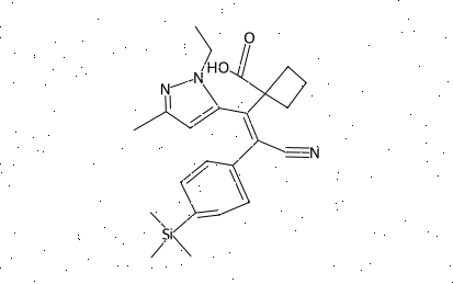 CCn1nc(C)cc1/C(=C(/C#N)c1ccc([Si](C)(C)C)cc1)C1(C(=O)O)CCC1